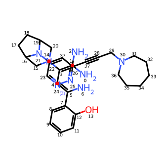 NC(N)=C(/C=C(\N)c1ccccc1O)N1CC2CCC(C1)N2c1cnnc(C#CCN2CCCCCC2)c1